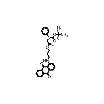 CC(C)(C)OC(=O)N(CC(=O)OCCCNc1cccc2c1C(=O)c1ccccc1C2=O)c1ccccc1